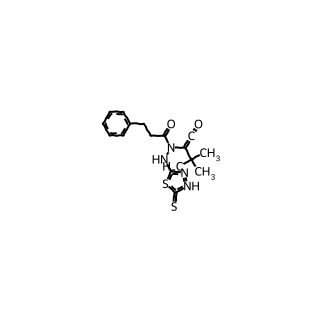 CC(C)(C)C(=C=O)N(Nc1n[nH]c(=S)s1)C(=O)CCc1ccccc1